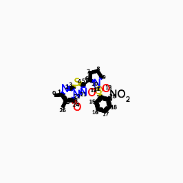 Cc1nc2sc([C@H]3CCCN3S(=O)(=O)c3ccccc3[N+](=O)[O-])nn2c(=O)c1C